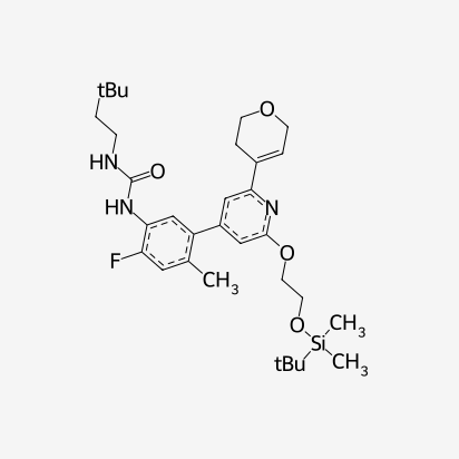 Cc1cc(F)c(NC(=O)NCCC(C)(C)C)cc1-c1cc(OCCO[Si](C)(C)C(C)(C)C)nc(C2=CCOCC2)c1